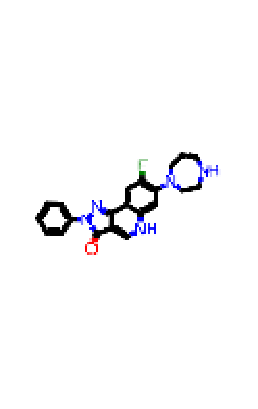 O=c1c2c[nH]c3cc(N4CCCNCC4)c(F)cc3c-2nn1-c1ccccc1